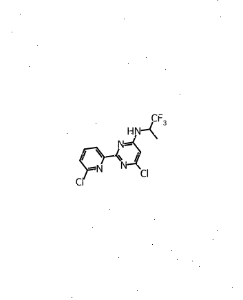 CC(Nc1cc(Cl)nc(-c2cccc(Cl)n2)n1)C(F)(F)F